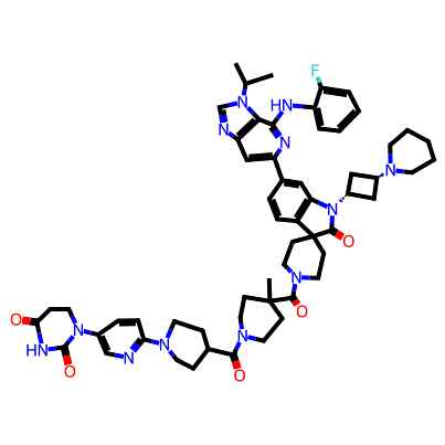 CC(C)n1cnc2cc(-c3ccc4c(c3)N([C@H]3C[C@@H](N5CCCCC5)C3)C(=O)C43CCN(C(=O)C4(C)CCN(C(=O)C5CCN(c6ccc(N7CCC(=O)NC7=O)cn6)CC5)CC4)CC3)nc(Nc3ccccc3F)c21